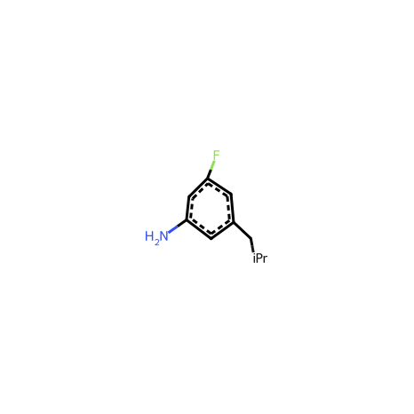 CC(C)Cc1cc(N)cc(F)c1